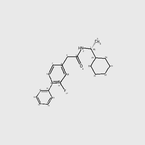 C[C@@H](NC(=O)Cc1ccc(-c2ccccc2)c(F)c1)C1CCCCC1